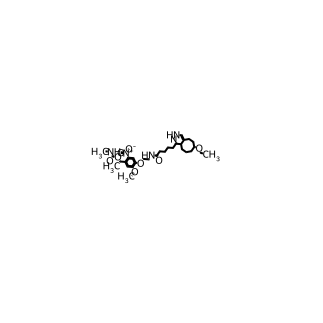 CCOC1CCCC2C(=CNN=C2CCCCC(=O)NCCOc2cc([N+](=O)[O-])c(C(C)OC(=O)NC)cc2OC)CC1